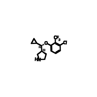 FC(F)(F)c1c(Cl)cccc1O[C@@H](C1CC1)[C@H]1CCNC1